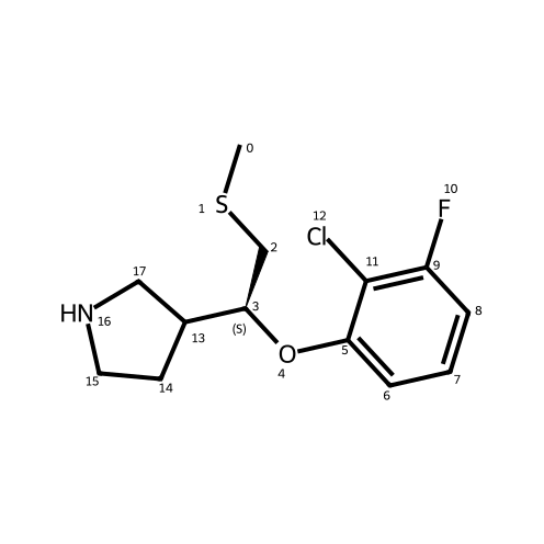 CSC[C@@H](Oc1cccc(F)c1Cl)C1CCNC1